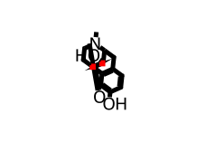 CN1CCC23CC(=O)CCC2(O)C1Cc1ccc(O)cc13